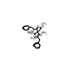 COC(=O)[C@H](N)C(C(=O)[C@H](N)Cc1ccccc1)(C(=O)[C@H](N)Cc1ccccc1)C(C)C